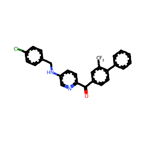 O=C(c1ccc(-c2ccccc2)c(C(F)(F)F)c1)c1ccc(NCc2ccc(Cl)cc2)cn1